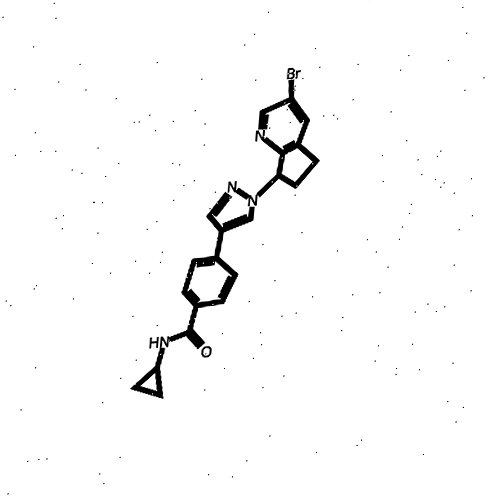 O=C(NC1CC1)c1ccc(-c2cnn(C3CCc4cc(Br)cnc43)c2)cc1